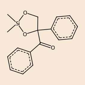 C[Si]1(C)OCC(C(=O)c2ccccc2)(c2ccccc2)O1